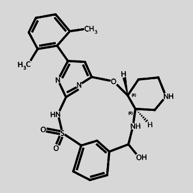 Cc1cccc(C)c1-c1cc2nc(n1)NS(=O)(=O)c1cccc(c1)C(O)N[C@@H]1CNCC[C@H]1O2